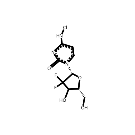 O=c1nc(NCl)ccn1[C@@H]1O[C@H](CO)C(O)C1(F)F